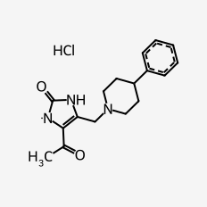 CC(=O)C1=C(CN2CCC(c3ccccc3)CC2)NC(=O)[N]1.Cl